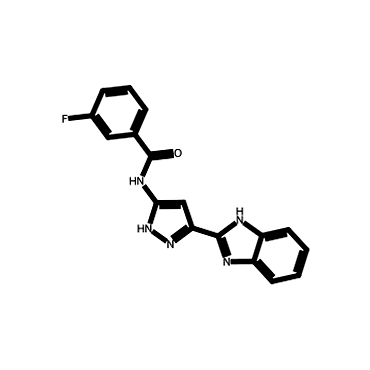 O=C(Nc1cc(-c2nc3ccccc3[nH]2)n[nH]1)c1cccc(F)c1